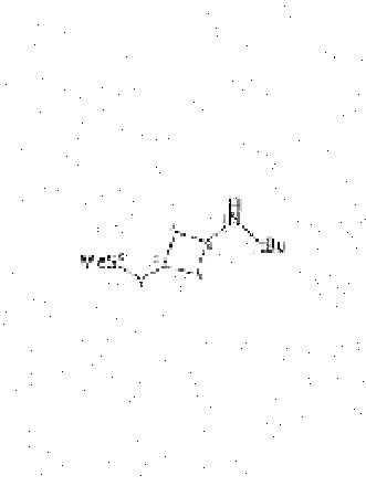 CSCC1CC(NC(C)(C)C)C1